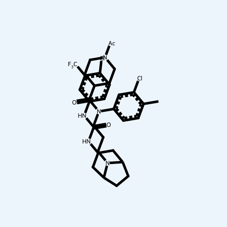 CC(=O)N1CCC(C(=O)N(CCCN2C3CCC2CC(NC(=O)Nc2ccc(Cl)c(C(F)(F)F)c2)C3)c2ccc(C)c(Cl)c2)CC1